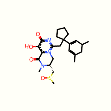 CC1=CC(C2(Cc3nc(=O)c(O)c4n3C[C@H](C[S+](C)[O-])N(C)C4=O)CCCC2)=CC(C)C1